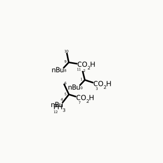 CCCCC(C)C(=O)O.CCCCC(C)C(=O)O.CCCCC(C)C(=O)O.P